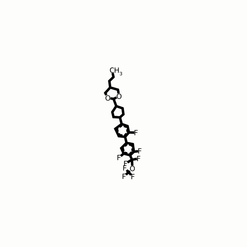 CCCC1COC(C2CCC(c3ccc(-c4cc(F)c(C(F)(F)OC(F)(F)F)c(F)c4)c(F)c3)CC2)OC1